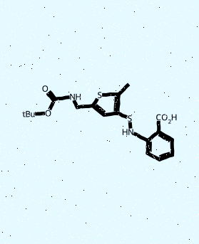 Cc1sc(CNC(=O)OC(C)(C)C)cc1SNc1ccccc1C(=O)O